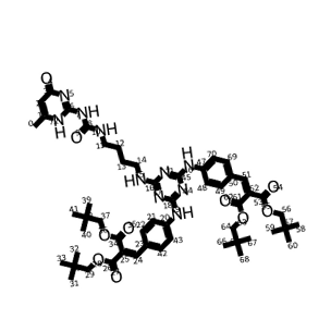 Cc1cc(=O)nc(NC(=O)NCCCCNc2nc(Nc3ccc(C=C(C(=O)OCC(C)(C)C)C(=O)OCC(C)(C)C)cc3)nc(Nc3ccc(C=C(C(=O)OCC(C)(C)C)C(=O)OCC(C)(C)C)cc3)n2)[nH]1